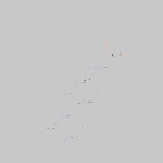 O=CCCOC(=O)CNc1ccc(-c2nc(C(Cl)(Cl)Cl)nc(C(Cl)(Cl)Cl)n2)c(F)c1